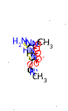 CC[n+]1cccc(OCC2=C(C(=O)[O-])N3C(=O)[C@@H](NC(=O)/C(=N\OC)c4csc(N)n4)[C@H]3SC2)c1